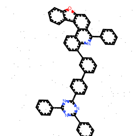 c1ccc(-c2nc(-c3ccccc3)nc(-c3ccc(-c4cccc(-c5cccc6c5nc(-c5ccccc5)c5ccc7oc8ccccc8c7c56)c4)cc3)n2)cc1